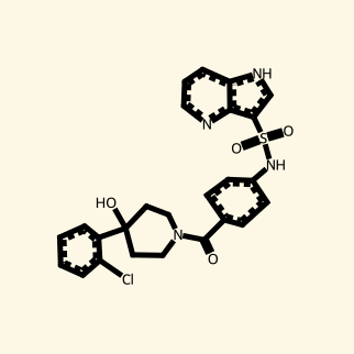 O=C(c1ccc(NS(=O)(=O)c2c[nH]c3cccnc23)cc1)N1CCC(O)(c2ccccc2Cl)CC1